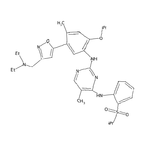 CCN(CC)Cc1cc(-c2cc(Nc3ncc(C)c(Nc4ccccc4S(=O)(=O)C(C)C)n3)c(OC(C)C)cc2C)on1